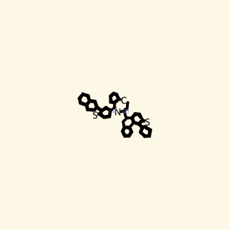 C1=C(C2Cc3ccccc3-c3c2ccc2sc4ccccc4c32)\N=C(\c2ccc3sc4cc5ccccc5cc4c3c2)c2ccccc2CC/1